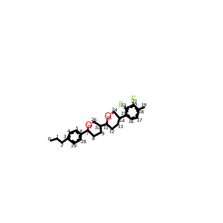 CCCc1ccc(C2CCC(C3CCC(c4ccc(C)c(F)c4F)CO3)CO2)cc1